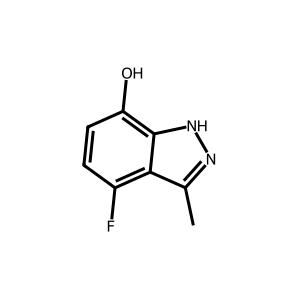 Cc1n[nH]c2c(O)ccc(F)c12